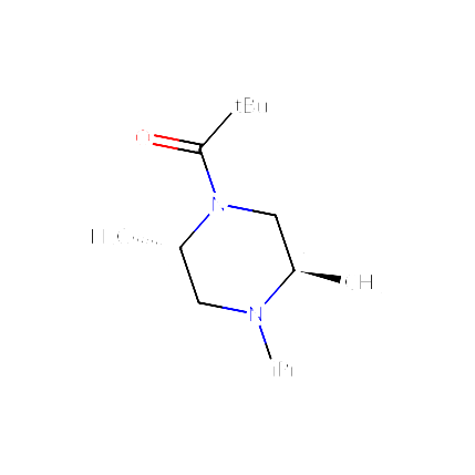 CC(C)N1C[C@H](C)N(C(=O)C(C)(C)C)C[C@H]1C